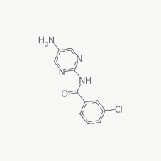 Nc1cnc(NC(=O)c2cccc(Cl)c2)nc1